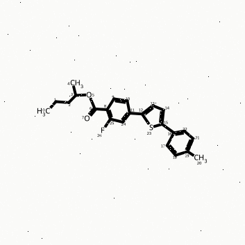 CCCC(C)OC(=O)c1ccc(-c2ccc(-c3ccc(C)cc3)s2)cc1F